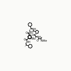 CN[C@@H](C)C(=O)N[C@H](C(=O)N1CCCC1C(=O)N[C@H](CNC(=O)c1cccc(C(=O)NC[C@@H](C)C2CCCCC2)c1)C1CCCCC1)C(C)(C)C